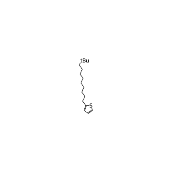 CC(C)(C)CCCCCCCCCc1cccs1